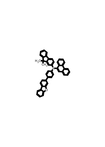 CC1(C)c2ccccc2-c2ccc(N(c3ccc(-c4ccc5c(c4)oc4ccccc45)cc3)c3cc4ccccc4c4ccccc34)cc21